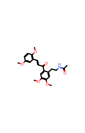 COc1ccc(OC)c(/C=C/C(=O)c2cc(OC)c(OC)cc2CCNC(C)=O)c1